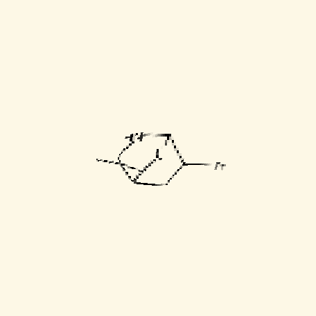 CC(C)C1CC2CNC1CC2C